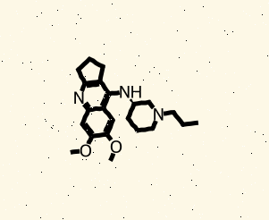 CCCN1CCC[C@H](Nc2c3c(nc4cc(OC)c(OC)cc24)CCC3)C1